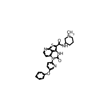 CN1CCCC(NC(=O)c2sc3nccc4c3c2NC(=O)N4c2ccc(Oc3ccccc3)cn2)C1